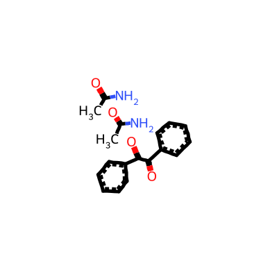 CC(N)=O.CC(N)=O.O=C(C(=O)c1ccccc1)c1ccccc1